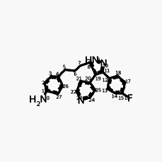 Nc1ccc(CCCc2[nH]nc(-c3ccc(F)cc3)c2-c2ccncc2)cc1